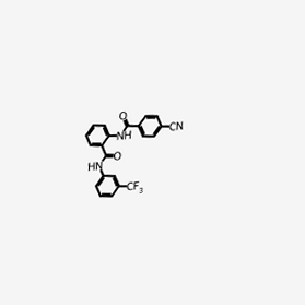 N#Cc1ccc(C(=O)Nc2ccccc2C(=O)Nc2cccc(C(F)(F)F)c2)cc1